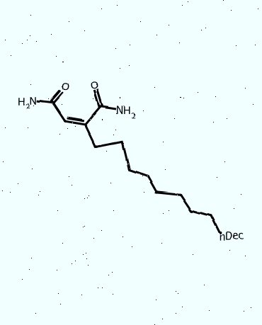 CCCCCCCCCCCCCCCCCC/C(=C/C(N)=O)C(N)=O